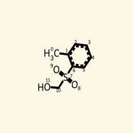 Cc1ccccc1S(=O)(=O)CO